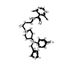 Cc1ncnc(C)c1C(=O)NCC[C@@H](C)N1CCC(N(Cc2ccsc2)c2ccc(F)cc2)CC1